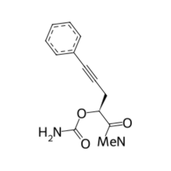 CNC(=O)[C@H](CC#Cc1ccccc1)OC(N)=O